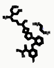 CCN(C(=O)c1cc(F)ccc1Oc1nncnc1N1CCC2(C1)CN(C(CCCN(C)C(CO)COC)C(C)C)C2)C(C)C.O=C(O)/C=C/C(=O)O